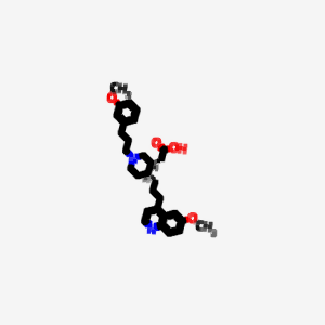 COc1cccc(CCCN2CC[C@@H](CCCc3ccnc4ccc(OC)cc34)[C@@H](CC(=O)O)C2)c1